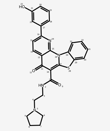 O=C(NCCN1CCCC1)c1c(=O)c2ccc(-c3cccc(O)c3)nc2n2c1sc1ccccc12